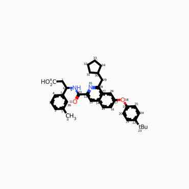 Cc1cccc(C(CC(=O)O)NC(=O)c2cc3ccc(Oc4ccc(C(C)(C)C)cc4)cc3c(CC3CCCC3)n2)c1